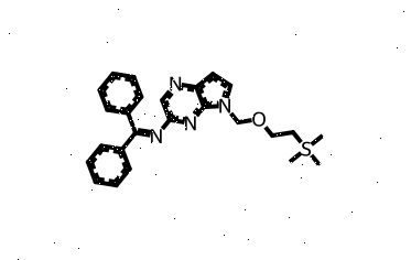 CS(C)(C)CCOCn1ccc2ncc(N=C(c3ccccc3)c3ccccc3)nc21